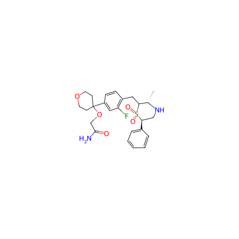 C[C@@H]1NC[C@@H](c2ccccc2)S(=O)(=O)C1Cc1ccc(C2(OCC(N)=O)CCOCC2)cc1F